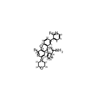 NC1=N[C@]2(c3cc(-c4cccnc4F)ccc3Oc3c2cc(N2CCOCC2)nc3F)c2cccnc21